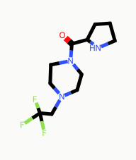 O=C(C1CCCN1)N1CCN(CC(F)(F)F)CC1